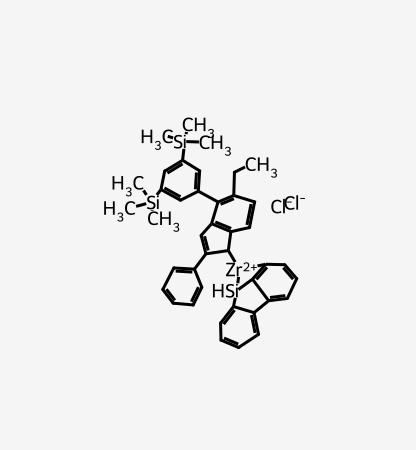 CCc1ccc2c(c1-c1cc([Si](C)(C)C)cc([Si](C)(C)C)c1)C=C(c1ccccc1)[CH]2[Zr+2]1[c]2cccc3c2[SiH]1c1ccccc1-3.[Cl-].[Cl-]